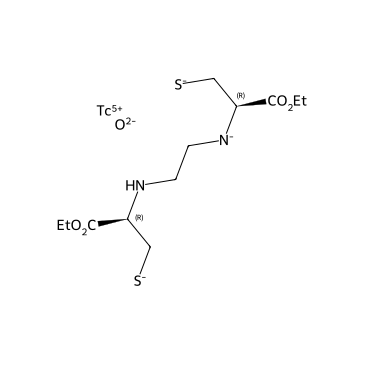 CCOC(=O)[C@H](C[S-])[N-]CCN[C@@H](C[S-])C(=O)OCC.[O-2].[Tc+5]